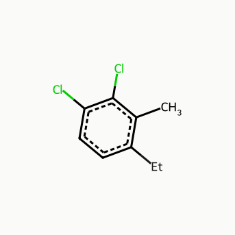 CCc1ccc(Cl)c(Cl)c1C